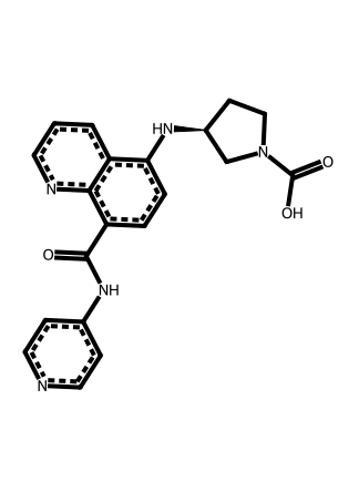 O=C(Nc1ccncc1)c1ccc(N[C@H]2CCN(C(=O)O)C2)c2cccnc12